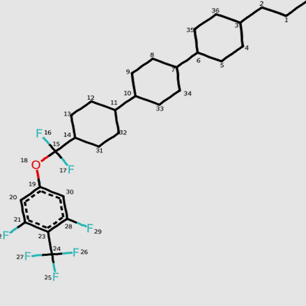 CCCC1CCC(C2CCC(C3CCC(C(F)(F)Oc4cc(F)c(C(F)(F)F)c(F)c4)CC3)CC2)CC1